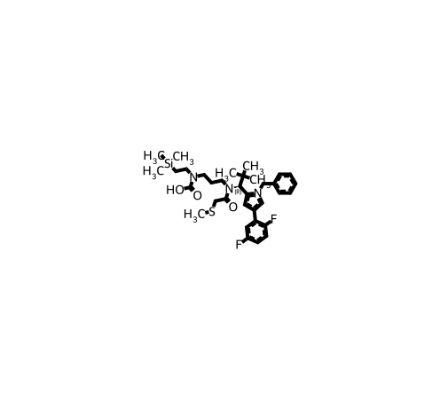 CSCC(=O)N(CCCN(CC[Si](C)(C)C)C(=O)O)[C@@H](c1cc(-c2cc(F)ccc2F)cn1Cc1ccccc1)C(C)(C)C